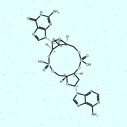 Nc1nc2c(ncn2[C@@H]2O[C@H]3COP(=O)(O)O[C@H]4C[C@H](n5cnc6c(N)ncnc65)O[C@@H]4COP(=O)(O)O[C@@H]2[C@@H]3O)c(=O)[nH]1